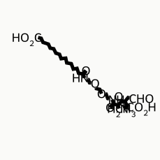 CC(C(=O)NCCOCCOCCNC(=O)CCCCCCCCCCCCCCC(=O)O)C(=O)C(C[C]=O)[C@H](N)C(=O)O